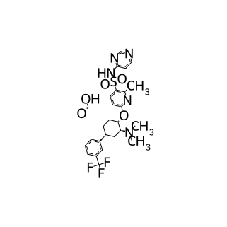 Cc1nc(O[C@H]2CC[C@H](c3cccc(C(F)(F)F)c3)C[C@@H]2N(C)C)ccc1S(=O)(=O)Nc1ccncn1.O=CO